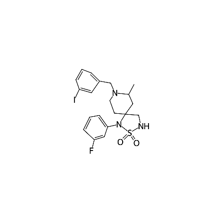 CC1CC2(CCN1Cc1cccc(I)c1)CNS(=O)(=O)N2c1cccc(F)c1